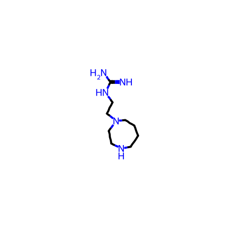 N=C(N)NCCN1CCCCNCC1